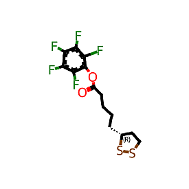 O=C(CCCC[C@@H]1CCSS1)Oc1c(F)c(F)c(F)c(F)c1F